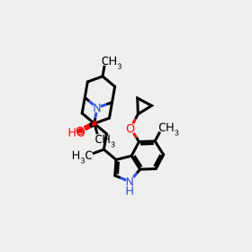 Cc1ccc2[nH]cc(C(C)CC(=O)N3C4CC(C)CC3CC(C)(O)C4)c2c1OC1CC1